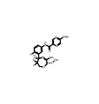 CSc1cnc(C(=O)Nc2ccc(F)c(C3(C)N=C(N)COCC3(F)F)c2)cn1.O=CO